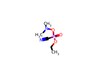 CCOP(=O)(C#N)ON(C)C